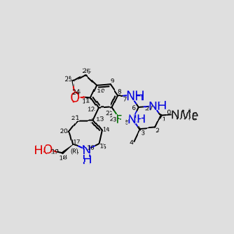 CNC1CC(C)NC(Nc2cc3c(c(C4=CCN[C@@H](CO)CC4)c2F)OCC3)N1